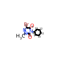 Cn1nc(Br)c(=O)n(-c2ccccc2)c1=O